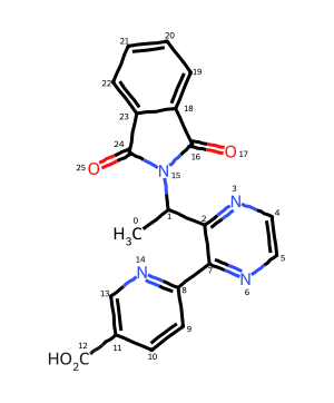 CC(c1nccnc1-c1ccc(C(=O)O)cn1)N1C(=O)c2ccccc2C1=O